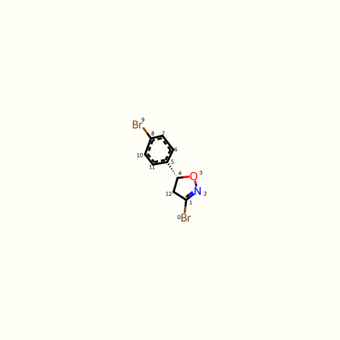 BrC1=NO[C@@H](c2ccc(Br)cc2)C1